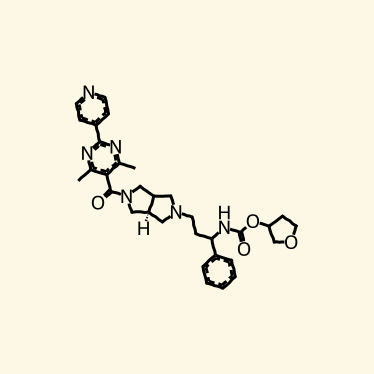 Cc1nc(-c2ccncc2)nc(C)c1C(=O)N1CC2CN(CCC(NC(=O)OC3CCOC3)c3ccccc3)C[C@H]2C1